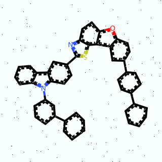 c1ccc(-c2ccc(-c3ccc4oc5ccc6nc(-c7ccc8c(c7)c7ccccc7n8-c7cccc(-c8ccccc8)c7)sc6c5c4c3)cc2)cc1